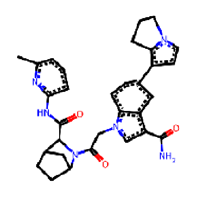 Cc1cccc(NC(=O)[C@@H]2C3CCC(C3)N2C(=O)Cn2cc(C(N)=O)c3cc(-c4ccn5c4CCC5)ccc32)n1